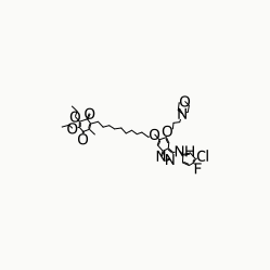 CCOC1=C(OCC)C(=O)C(CCCCCCCCCCOc2cc3ncnc(Nc4ccc(F)c(Cl)c4)c3cc2OCCCN2CCOCC2)=C(C)C1=O